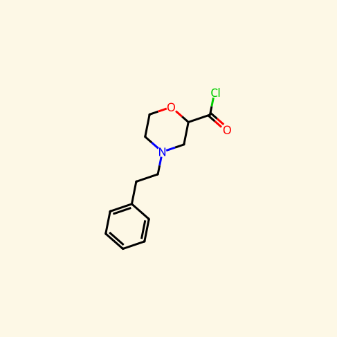 O=C(Cl)C1CN(CCc2ccccc2)CCO1